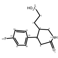 O=C(O)CCC1CNC(=O)CC1c1ccc(F)cc1